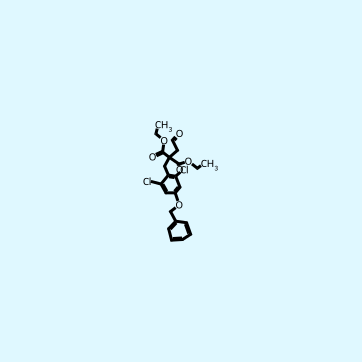 CCOC(=O)C(CC=O)(Cc1c(Cl)cc(OCc2ccccc2)cc1Cl)C(=O)OCC